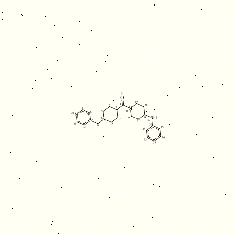 O=C(C1CCN(Cc2ccncc2)CC1)N1CCC(Nc2ccccc2)CC1